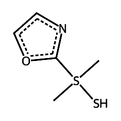 CS(C)(S)c1ncco1